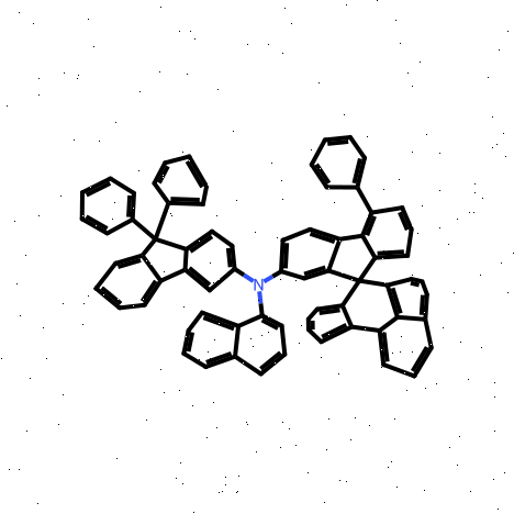 c1ccc(-c2cccc3c2-c2ccc(N(c4ccc5c(c4)-c4ccccc4C5(c4ccccc4)c4ccccc4)c4cccc5ccccc45)cc2C32c3ccccc3-c3cccc4cccc2c34)cc1